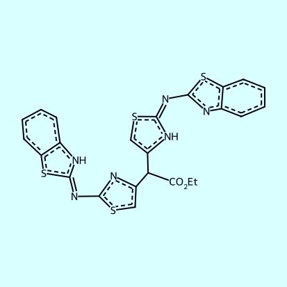 CCOC(=O)C(c1csc(/N=c2\[nH]c3ccccc3s2)n1)c1cs/c(=N/c2nc3ccccc3s2)[nH]1